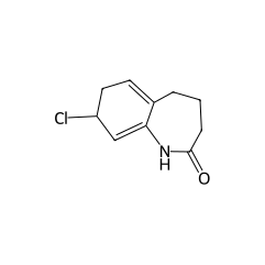 O=C1CCCC2=CCC(Cl)C=C2N1